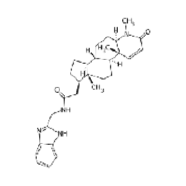 CN1C(=O)C=C[C@]2(C)[C@H]3CC[C@]4(C)[C@@H](CC(=O)NCc5nc6ccccc6[nH]5)CC[C@H]4[C@@H]3CC[C@@H]12